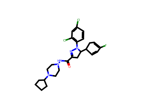 O=C(NN1CCN(C2CCCC2)CC1)C1=NN(c2ccc(Cl)cc2Cl)C(C2C=CC(F)=CC2)C1